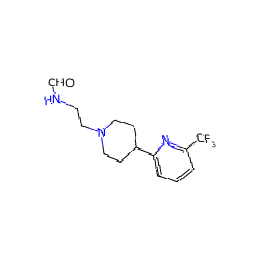 O=CNCCN1CCC(c2cccc(C(F)(F)F)n2)CC1